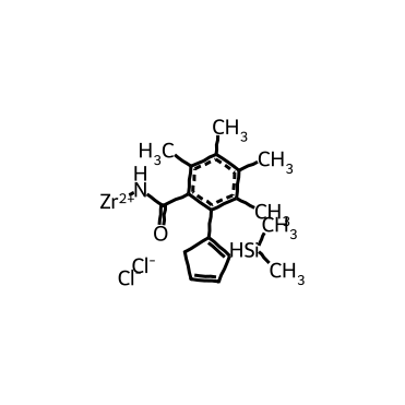 Cc1c(C)c(C)c(C2=C([SiH](C)C)C=CC2)c(C(=O)[NH][Zr+2])c1C.[Cl-].[Cl-]